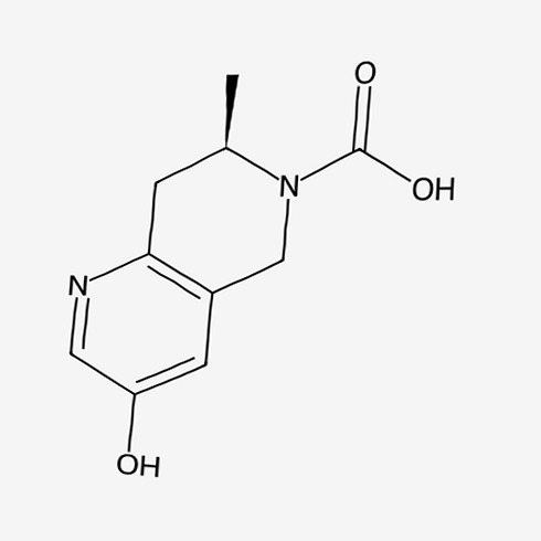 C[C@@H]1Cc2ncc(O)cc2CN1C(=O)O